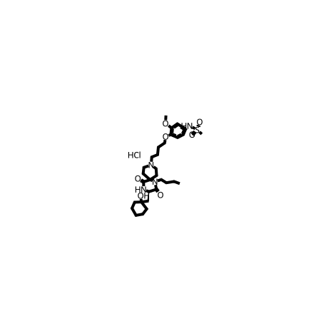 CCCCN1C(=O)[C@@H](CC2(O)CCCCC2)NC(=O)C12CCN(CCCCOc1ccc(NS(C)(=O)=O)cc1OC)CC2.Cl